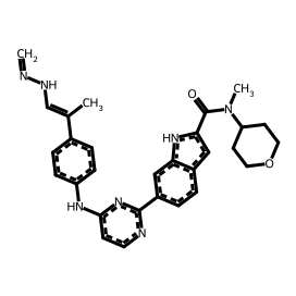 C=NN/C=C(\C)c1ccc(Nc2ccnc(-c3ccc4cc(C(=O)N(C)C5CCOCC5)[nH]c4c3)n2)cc1